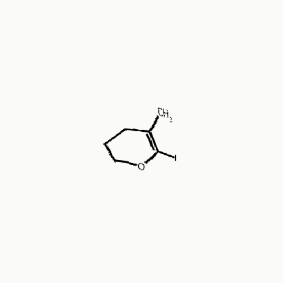 CC1=C(I)OCCC1